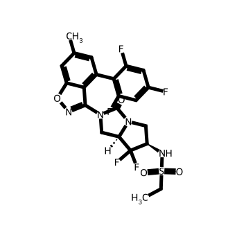 CCS(=O)(=O)N[C@@H]1CN2C(=O)N(c3noc4cc(C)cc(-c5c(F)cc(F)cc5F)c34)C[C@@H]2C1(F)F